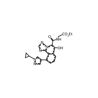 CCOC(=O)CNC(=O)c1c(O)c2cccc(-c3cnn(C4CC4)c3)c2c2ncnn12